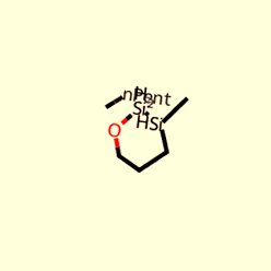 CCCCCC.C[SiH]1CCCO[SiH2]1